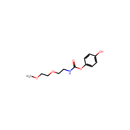 COCCOCCNC(=O)Oc1ccc(O)cc1